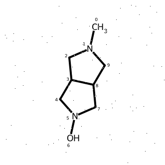 CN1CC2CN(O)CC2C1